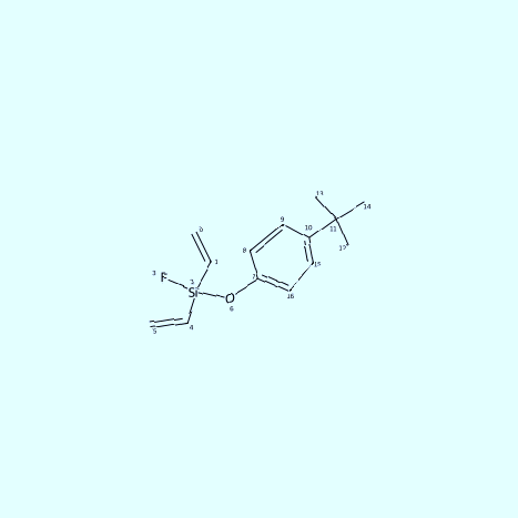 C=C[Si](F)(C=C)Oc1ccc(C(C)(C)C)cc1